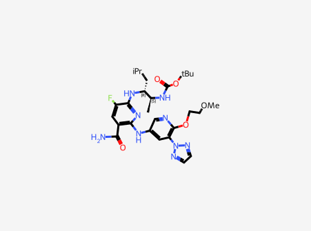 COCCOc1ncc(Nc2nc(N[C@H](CC(C)C)[C@H](C)NC(=O)OC(C)(C)C)c(F)cc2C(N)=O)cc1-n1nccn1